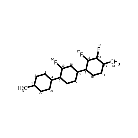 CC1CCC(C2CCC(C3CCC(C)C(F)C3F)CC2F)CC1